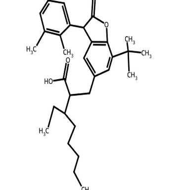 CCCCCC(CC)C(Cc1cc2c(c(C(C)(C)C)c1)OC(=O)C2c1cccc(C)c1C)C(=O)O